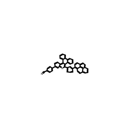 N#Cc1ccc(-c2ccc3c(c2)nc(-c2cccc(-c4ccc5ccc6cccc7ccc4c5c67)c2)c2c4ccccc4c4ccccc4c32)cc1